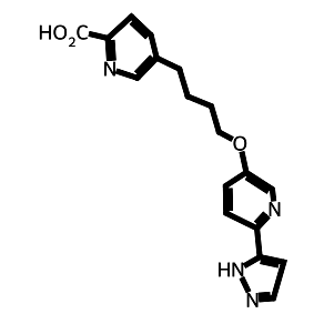 O=C(O)c1ccc(CCCCOc2ccc(-c3ccn[nH]3)nc2)cn1